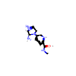 CNC(=O)c1ccc(N2CCNC[C@@H]2N)cn1